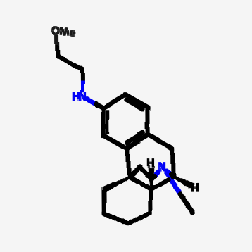 COCCNc1ccc2c(c1)[C@@]13CCCC[C@H]1[C@@H](C2)N(C)CC3